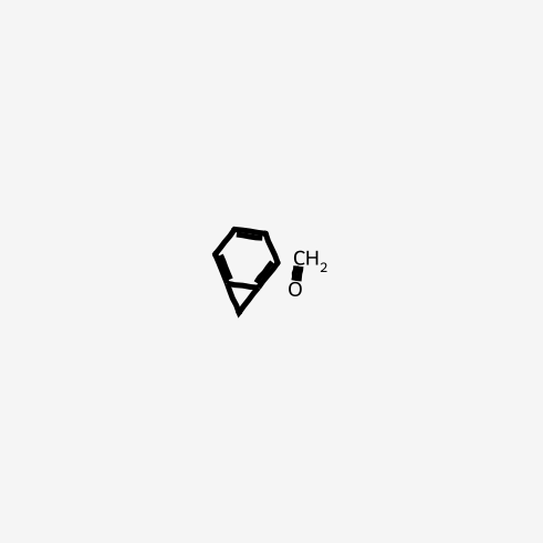 C=O.c1ccc2c(c1)C2